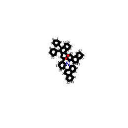 c1ccc(-c2c(-c3ccccc3)c3cc(-c4ccccc4N(c4cccc5c4ccc4ccccc45)c4cccc5c4ccc4ccccc45)ccc3c3ccccc23)cc1